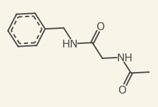 CC(=O)NCC(=O)NCc1ccccc1